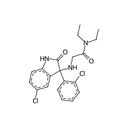 CCN(CC)C(=O)CNC1(c2ccccc2Cl)C(=O)Nc2ccc(Cl)cc21